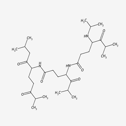 CC(C)CC(=O)C(CCC(=O)C(C)C)NC(=O)CCC(NC(=O)CCC(NC(C)C)C(=O)C(C)C)C(=O)C(C)C